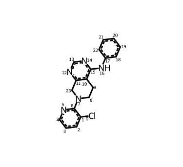 Clc1cccnc1N1CCc2c(ncnc2Nc2ccccc2)C1